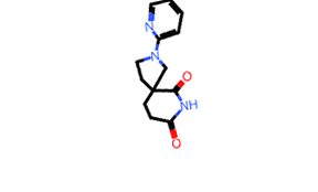 O=C1CCC2(CCN(c3ccccn3)C2)C(=O)N1